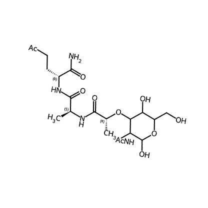 CC(=O)CC[C@@H](NC(=O)[C@H](C)NC(=O)[C@@H](C)OC1C(O)C(CO)OC(O)C1NC(C)=O)C(N)=O